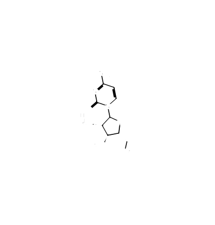 CC(=O)OC[C@H]1OC(n2ccc(N)nc2=O)[C@@H](OC(C)=O)[C@@H]1OC(C)=O.Cl